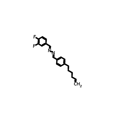 C=CCCCCc1ccc(C=NN=Cc2ccc(F)c(F)c2)cc1